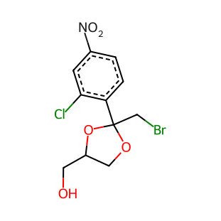 O=[N+]([O-])c1ccc(C2(CBr)OCC(CO)O2)c(Cl)c1